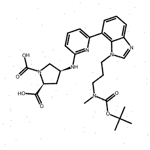 CN(CCCn1cnc2cccc(-c3cccc(N[C@H]4C[C@@H](C(=O)O)N(C(=O)O)C4)n3)c21)C(=O)OC(C)(C)C